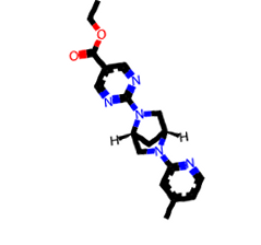 CCOC(=O)c1cnc(N2C[C@H]3C[C@@H]2CN3c2cc(C)ccn2)nc1